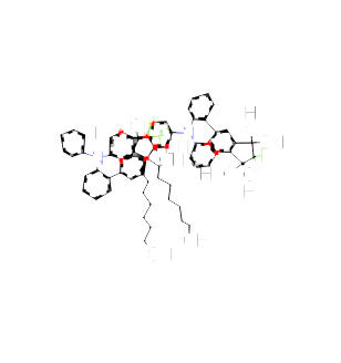 CCCCCCCCC1(CCCCCCCC)c2cc(N(c3ccccc3)c3ccccc3-c3ccc4c(c3)C(C)(C)C(F)(F)C4(C)C)ccc2-c2ccc(N(c3ccccc3)c3ccccc3-c3ccc4c(c3)C(C)(C)C(F)(F)C4(C)C)cc21